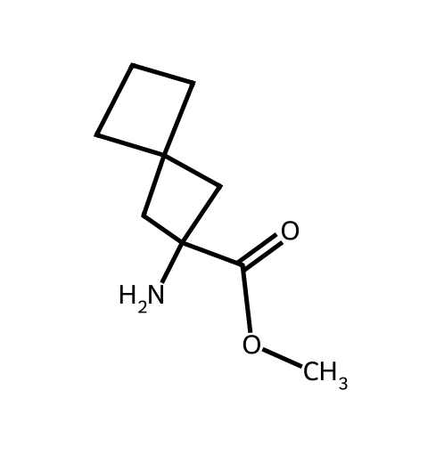 COC(=O)C1(N)CC2(CCC2)C1